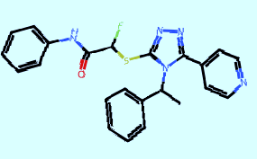 CC(c1ccccc1)n1c(SC(F)C(=O)Nc2ccccc2)nnc1-c1ccncc1